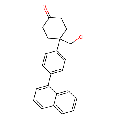 O=C1CCC(CO)(c2ccc(-c3cccc4ccccc34)cc2)CC1